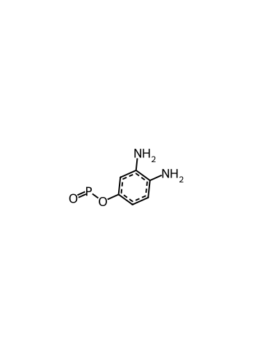 Nc1ccc(OP=O)cc1N